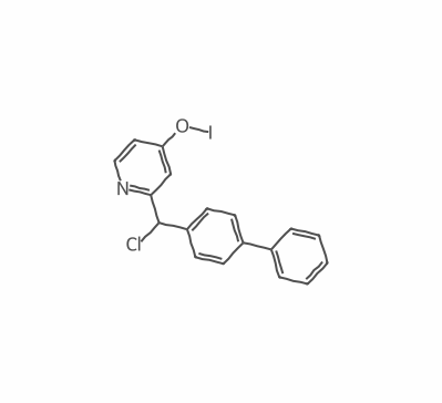 ClC(c1ccc(-c2ccccc2)cc1)c1cc(OI)ccn1